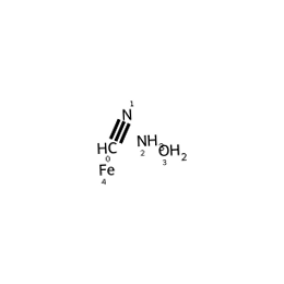 C#N.N.O.[Fe]